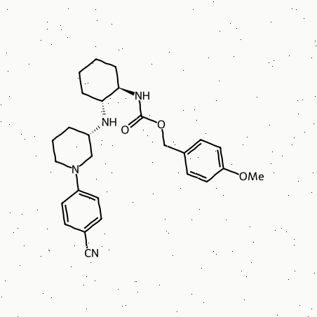 COc1ccc(COC(=O)N[C@@H]2CCCC[C@H]2N[C@H]2CCCN(c3ccc(C#N)cc3)C2)cc1